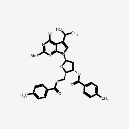 CSc1nc(Cl)c2c(C(C)O)cn([C@H]3C[C@H](OC(=O)c4ccc(C)cc4)[C@@H](COC(=O)c4ccc(C)cc4)O3)c2n1